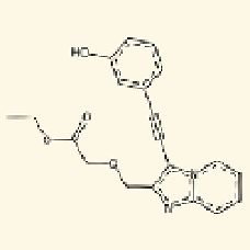 CCOC(=O)COCc1nc2ccccn2c1C#Cc1cccc(O)c1